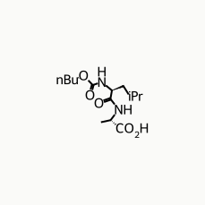 CCCCOC(=O)N[C@@H](CC(C)C)C(=O)N[C@@H](C)C(=O)O